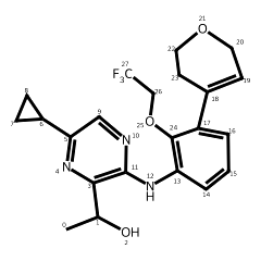 CC(O)c1nc(C2CC2)cnc1Nc1cccc(C2=CCOCC2)c1OCC(F)(F)F